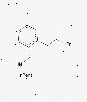 CCCCCNCc1c[c]ccc1CCC(C)C